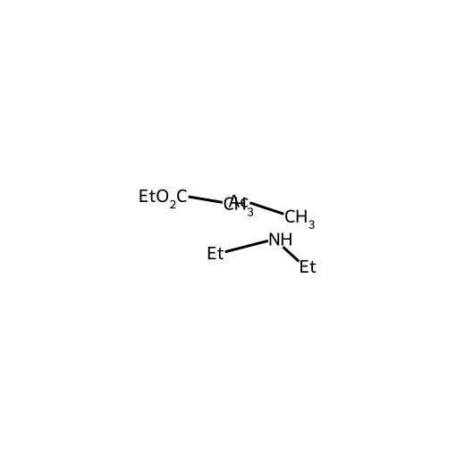 CC(C)=O.CCNCC.CCOC(C)=O